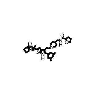 Cc1cc(C)cc(-c2[nH]c3sc(C(C)(C)CC4C5CCC4C(=O)N5)cc3c2CCN2CCC(CNC(=O)C3CCCO3)CC2)c1